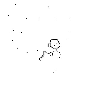 CS1(OP=O)CCCO1